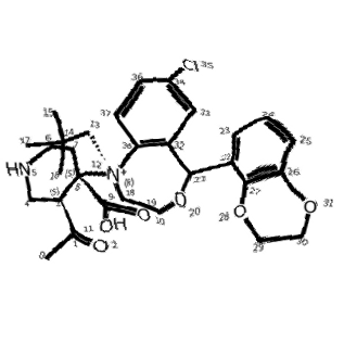 CC(=O)[C@H]1CNCC[C@]1(C(=O)O)[N@+]1(CC(C)(C)C)CCOC(c2cccc3c2OCCO3)c2cc(Cl)ccc21